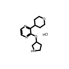 Cl.c1cnc(C2CCOCC2)c(OC2CCNC2)n1